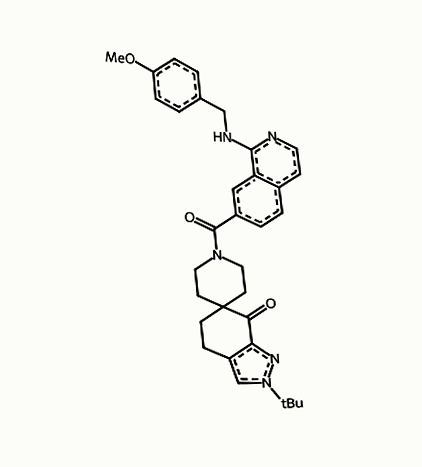 COc1ccc(CNc2nccc3ccc(C(=O)N4CCC5(CCc6cn(C(C)(C)C)nc6C5=O)CC4)cc23)cc1